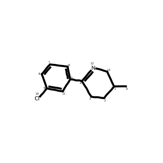 CC1CCC(c2cc[c]c(Cl)c2)=NC1